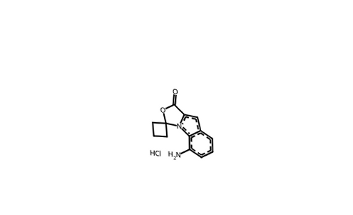 Cl.Nc1cccc2cc3n(c12)C1(CCC1)OC3=O